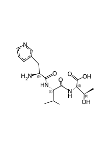 CC(C)[C@H](NC(=O)[C@@H](N)Cc1cccnc1)C(=O)N[C@H](C(=O)O)[C@@H](C)O